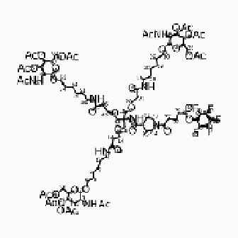 CC(=O)NC1C(OCCCCCCNC(=O)CCOCC(COCCC(=O)NCCCCCCOC2OC(COC(C)=O)C(OC(C)=O)C(OC(C)=O)C2NC(C)=O)(COCCC(=O)NCCCCCCOC2OC(COC(C)=O)C(OC(C)=O)C(OC(C)=O)C2NC(C)=O)NC(=O)C2CCN(C(=O)CCCC(=O)Oc3c(F)c(F)c(F)c(F)c3F)CC2)OC(COC(C)=O)C(OC(C)=O)C1OC(C)=O